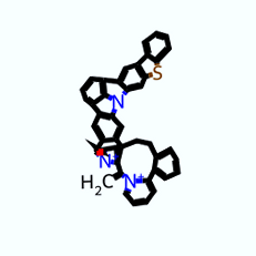 C=C1[n+]2ccccc2-c2ccccc2CCC2c3cc4c(cc3-c3cccc5[n+]3C12C5)c1cccc2c3cc5c(cc3n4c12)sc1ccccc15